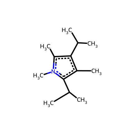 Cc1c(C(C)C)c(C)n(C)c1C(C)C